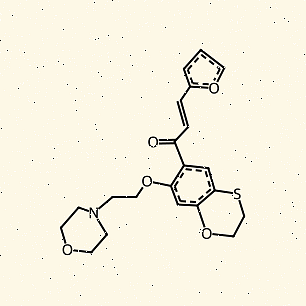 O=C(C=Cc1ccco1)c1cc2c(cc1OCCN1CCOCC1)OCCS2